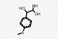 CSc1ccc(C(O)C([NH])O)cc1